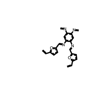 C=Cc1ccc(C=Nc2cc(N=C)c(N=C)cc2N=Cc2ccc(C=C)o2)o1